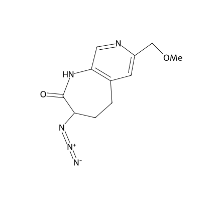 COCc1cc2c(cn1)NC(=O)C(N=[N+]=[N-])CC2